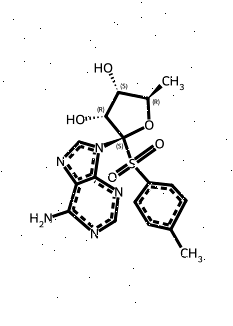 Cc1ccc(S(=O)(=O)[C@@]2(n3cnc4c(N)ncnc43)O[C@H](C)[C@@H](O)[C@H]2O)cc1